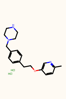 Cc1ccc(OCCc2ccc(CN3CCNCC3)cc2)cn1.Cl.Cl